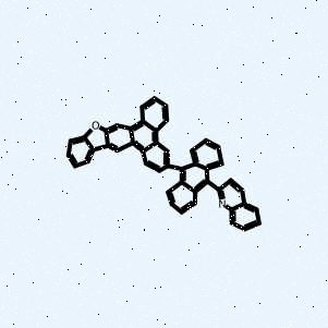 c1ccc2nc(-c3c4ccccc4c(-c4ccc5c(c4)c4ccccc4c4cc6oc7ccccc7c6cc54)c4ccccc34)ccc2c1